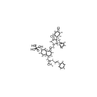 CN(CC=Cc1ccccc1)Cc1ccc(OCC2COC(Cn3ccnc3)(c3ccc(Cl)cc3Cl)O2)c2ccccc12.O=P(O)(O)O